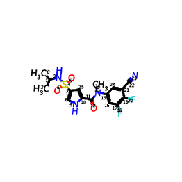 CC(C)NS(=O)(=O)c1c[nH]c(C(=O)N(C)c2cc(F)c(F)c(C#N)c2)c1